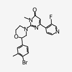 Cc1cc(C2CN(c3nc(-c4ccncc4F)cc(=O)n3C)CCO2)ccc1Br